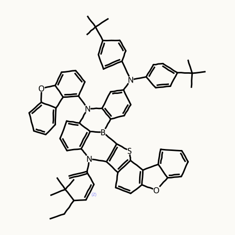 C=C(/C=C\C(CC)C(C)(C)C)N1c2cccc3c2B(c2ccc(N(c4ccc(C(C)(C)C)cc4)c4ccc(C(C)(C)C)cc4)cc2N3c2cccc3oc4ccccc4c23)c2sc3c(ccc4oc5ccccc5c43)c21